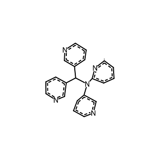 [c]1cccc(N(c2cccnc2)C(c2cccnc2)c2cccnc2)n1